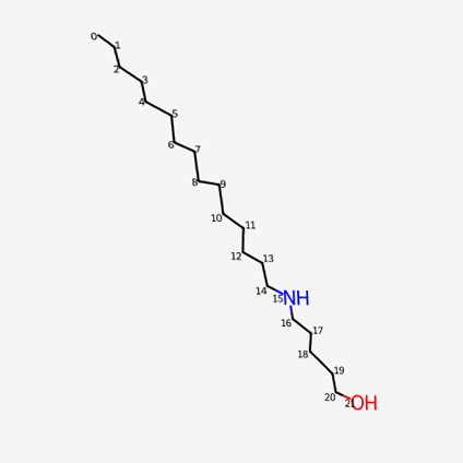 CCCCCCCCCCCCCCCNCCCCCO